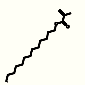 [CH2]CCCCCCCCCCCCOC(=O)C(=C)C